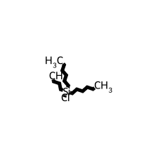 CCCCCC[Si](Cl)(CCCC)CCCCCC